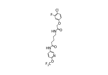 O=C(COc1ccc(Cl)c(F)c1)NCCCCC(=O)Nc1ccc(OC(F)(F)F)nc1